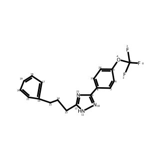 FC(F)(F)Oc1ccc(-c2n[nH]c([CH]CCc3ccccc3)n2)cc1